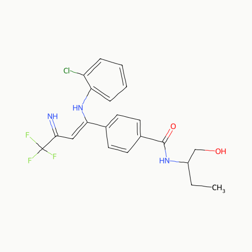 CCC(CO)NC(=O)c1ccc(/C(=C/C(=N)C(F)(F)F)Nc2ccccc2Cl)cc1